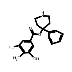 Cc1c(O)cc(C(=O)OC2(c3ccccc3)CCNCC2)cc1O